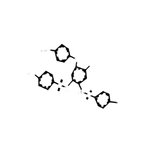 COc1ccc(Oc2cc(NS(=O)(=O)c3ccc(C)cc3)c(NS(=O)(=O)c3ccc(C)cc3)cc2C(=O)O)cc1